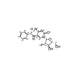 Nc1nc(=O)n([C@@H]2O[C@H](CO)[C@@H](O)[C@H]2F)cc1NCc1ccccc1